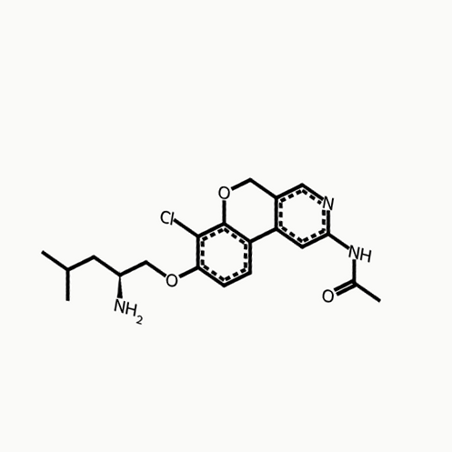 CC(=O)Nc1cc2c(cn1)COc1c-2ccc(OC[C@@H](N)CC(C)C)c1Cl